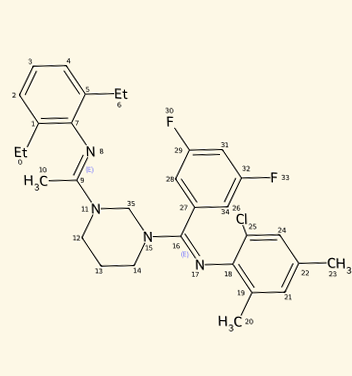 CCc1cccc(CC)c1/N=C(\C)N1CCCN(/C(=N/c2c(C)cc(C)cc2Cl)c2cc(F)cc(F)c2)C1